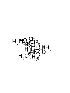 C=CC(=O)N[C@H](C(=O)N1CC2C(C1C(=O)NC(CC1CC1)C(=O)C(N)=O)C2(C)C)C(C)(C)C